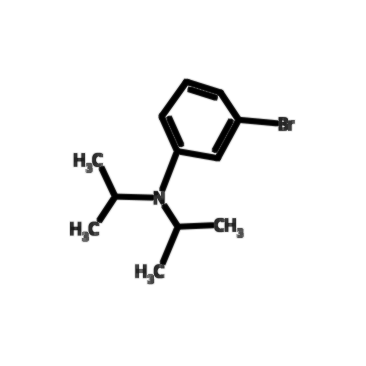 CC(C)N(c1cccc(Br)c1)C(C)C